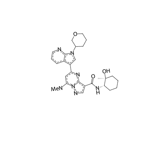 CNc1cc(-c2cn(C3CCCOC3)c3ncccc23)nc2c(C(=O)N[C@H]3CCCC[C@]3(C)O)cnn12